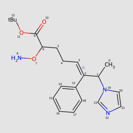 CC(/C(=C/CCC(ON)C(=O)OC(C)(C)C)c1ccccc1)n1ccnc1